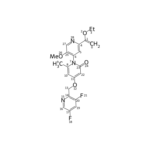 C=C(OCC)c1cc(-n2c(C)cc(OCc3ncc(F)cc3F)cc2=O)c(OC)cn1